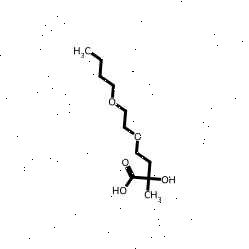 CCCCOCCOCCC(C)(O)C(=O)O